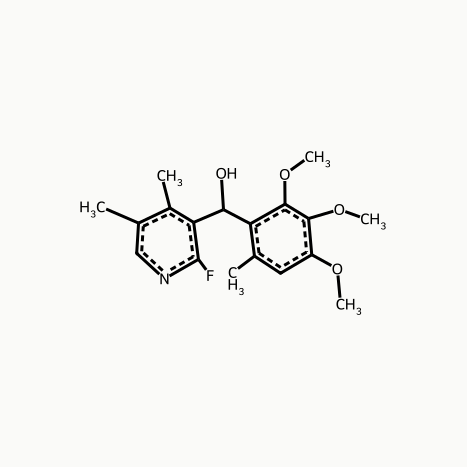 COc1cc(C)c(C(O)c2c(F)ncc(C)c2C)c(OC)c1OC